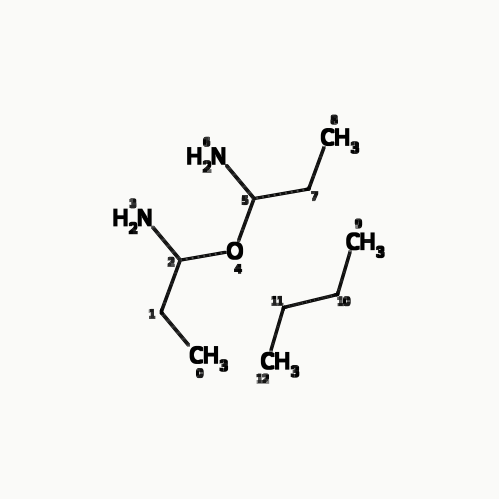 CCC(N)OC(N)CC.CCCC